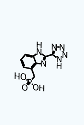 O=P(O)(O)Cc1cccc2[nH]c(-c3nnn[nH]3)nc12